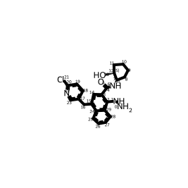 NNc1c(C(=O)N[C@H]2CCCC[C@@H]2O)cc(Cc2ccc(Cl)nc2)c2ccccc12